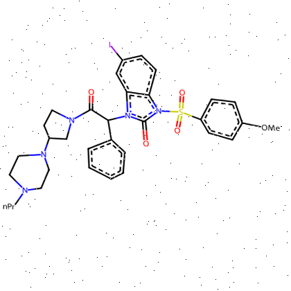 CCCN1CCN(C2CCN(C(=O)C(c3ccccc3)n3c(=O)n(S(=O)(=O)c4ccc(OC)cc4)c4ccc(I)cc43)C2)CC1